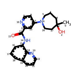 CC1(O)CCCN(c2ccnc(C(=O)Nc3cccc4cccnc34)c2)CC1